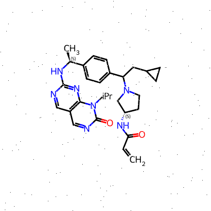 C=CC(=O)N[C@H]1CCN(C(CC2CC2)c2ccc([C@H](C)Nc3ncc4cnc(=O)n(C(C)C)c4n3)cc2)C1